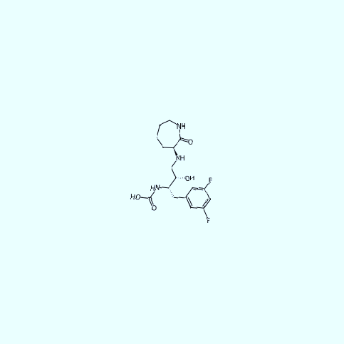 O=C(O)N[C@@H](Cc1cc(F)cc(F)c1)[C@@H](O)CN[C@H]1CCCCNC1=O